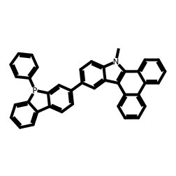 Cn1c2ccc(-c3ccc4c5ccccc5p(-c5ccccc5)c4c3)cc2c2c3ccccc3c3ccccc3c21